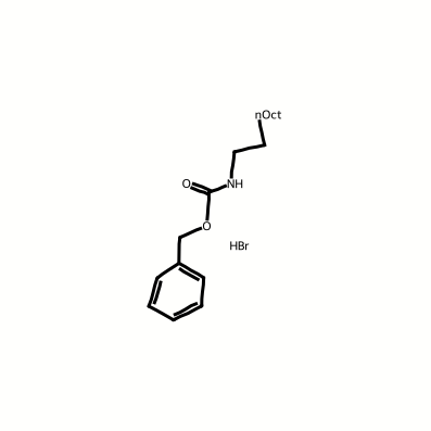 Br.CCCCCCCCCCNC(=O)OCc1ccccc1